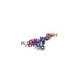 CC(C)(C)OC(=O)N1Cc2nc(-c3c(F)cccc3C#N)cc(Nc3ccc(N4CC[C@@]5(CC(O)CO5)C4)cn3)c2C1=O